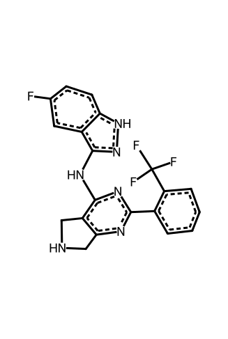 Fc1ccc2[nH]nc(Nc3nc(-c4ccccc4C(F)(F)F)nc4c3CNC4)c2c1